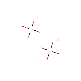 O[Si](O)(O)O.[Na+].[O-][Si](O)(O)F